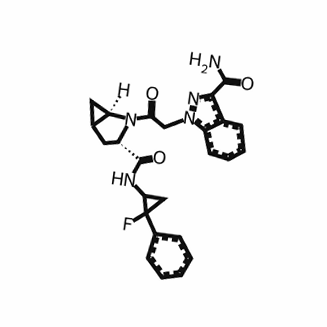 NC(=O)c1nn(CC(=O)N2[C@@H]3CC3C[C@H]2C(=O)NC2CC2(F)c2ccccc2)c2ccccc12